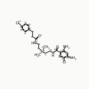 C[N+](C)(CCNC(=O)CCc1ccc(Cl)cc1)CCNC(=O)c1nc(Cl)c(N)nc1N